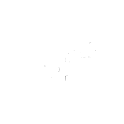 CCc1ccc(N2Cc3ccccc3C2)c(F)c1